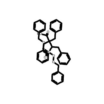 O=C(O)C(Cc1ccccc1)(Cc1ccccc1)C(Cc1ccccc1)P(=O)(OOCc1ccccc1)OOCc1ccccc1